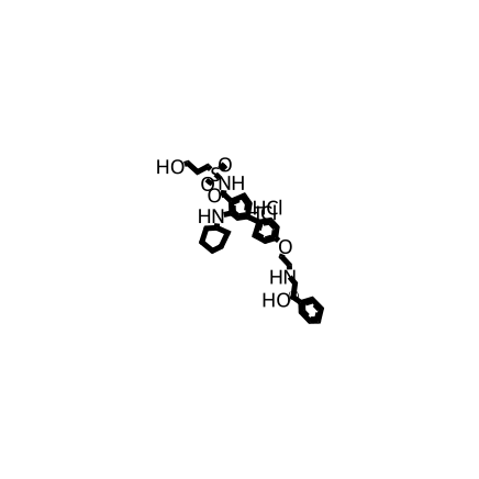 Cl.Cl.O=C(NS(=O)(=O)CCCO)c1ccc(-c2ccc(OCCNC[C@H](O)c3ccccc3)cc2)cc1NC1CCCCC1